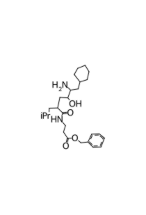 CC(C)CC(CC(O)C(N)CC1CCCCC1)C(=O)NCCC(=O)OCc1ccccc1